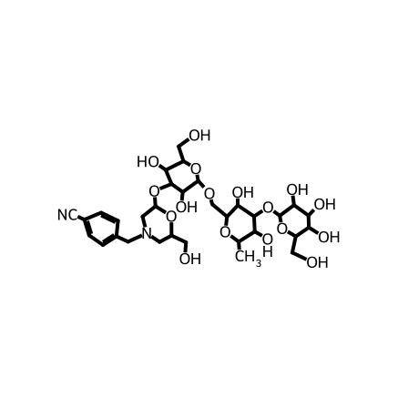 CC1OC(COC2OC(CO)C(O)C(OC3CN(Cc4ccc(C#N)cc4)CC(CO)O3)C2O)C(O)C(OC2OC(CO)C(O)C(O)C2O)C1O